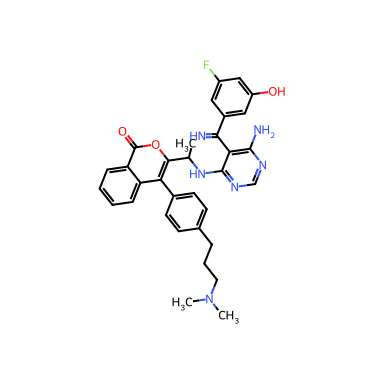 CC(Nc1ncnc(N)c1C(=N)c1cc(O)cc(F)c1)c1oc(=O)c2ccccc2c1-c1ccc(CCCN(C)C)cc1